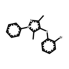 Cc1nn(-c2ccccc2)c(C)c1Sc1ccccc1Br